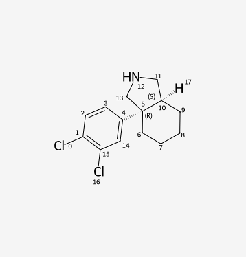 Clc1ccc([C@@]23CCCC[C@@H]2CNC3)cc1Cl